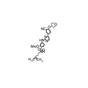 COc1cc(Nc2nccc(-c3ccc(OC4CCOCC4)c(C#N)c3)n2)ccc1S(=O)(=O)NCCCN(C)C